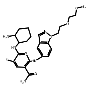 CCOCCOCCn1ncc2cc(Nc3nc(NC4CCCCC4N)c(F)cc3C(N)=O)ccc21